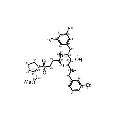 CCc1cccc(CNC[C@@H](O)[C@H](Cc2cc(F)cc(F)c2)NC(=O)CCS(=O)(=O)N2CCC[C@H]2COC)c1